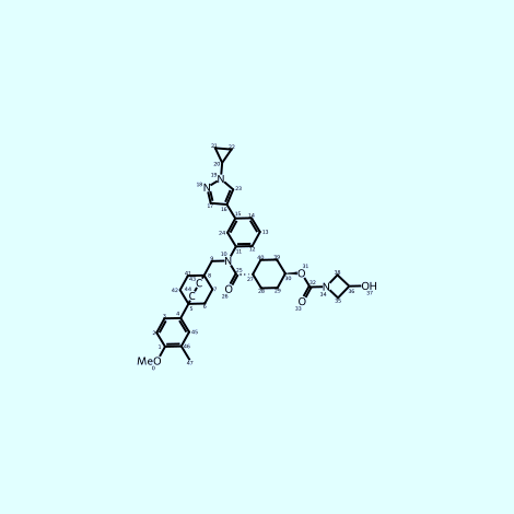 COc1ccc(C23CCC(CN(c4cccc(-c5cnn(C6CC6)c5)c4)C(=O)[C@H]4CC[C@H](OC(=O)N5CC(O)C5)CC4)(CC2)CC3)cc1C